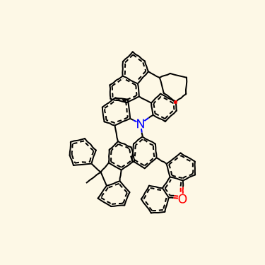 CC1(c2ccccc2)c2ccccc2-c2ccc(-c3ccccc3N(c3cccc(-c4cccc5oc6ccccc6c45)c3)c3ccccc3-c3cccc4cccc(C5CCCCC5)c34)cc21